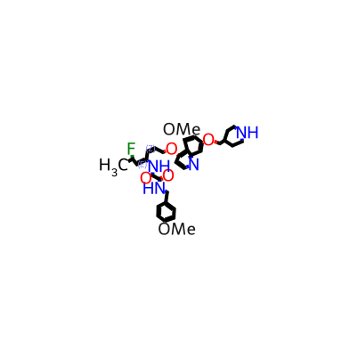 COc1ccc(CNC(=O)C(=O)NC(/C=C\COc2ccnc3cc(OCC4CCNCC4)c(OC)cc23)=C/C(C)F)cc1